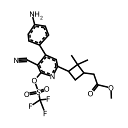 COC(=O)CC1CC(c2cc(-c3ccc(N)cc3)c(C#N)c(OS(=O)(=O)C(F)(F)F)n2)C1(C)C